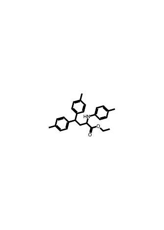 CCOC(=O)C(CC(c1ccc(C)cc1)c1ccc(C)cc1)Nc1ccc(C)cc1